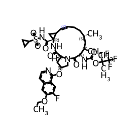 CCOc1cc2ccnc(O[C@@H]3C[C@H]4C(=O)N[C@]5(C(=O)NS(=O)(=O)C6CC6)CC5/C=C\CC[C@H](C)C[C@@H](C)[C@H](NC(=O)OC(C)(C)C(F)(F)F)C(=O)N4C3)c2cc1F